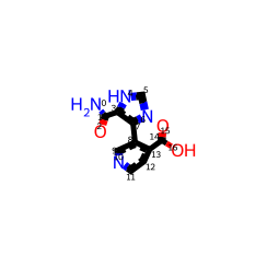 NC(=O)c1[nH]cnc1-c1cnccc1C(=O)O